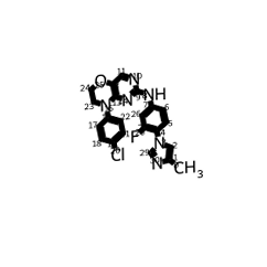 Cc1cn(-c2ccc(Nc3ncc4c(n3)N(c3ccc(Cl)cc3)CCO4)cc2F)cn1